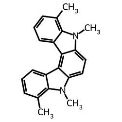 Cc1cccc2c3c4c5cccc(C)c5n(C)c4ccc3n(C)c12